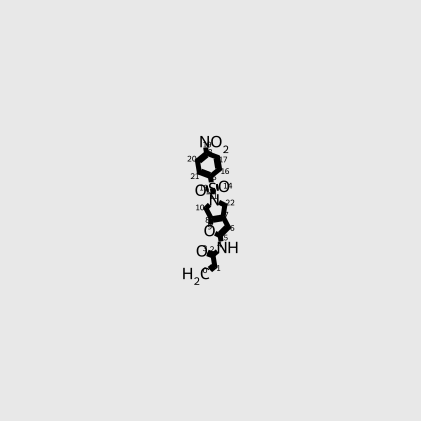 C=CC(=O)Nc1cc2c(o1)CN(S(=O)(=O)c1ccc([N+](=O)[O-])cc1)C2